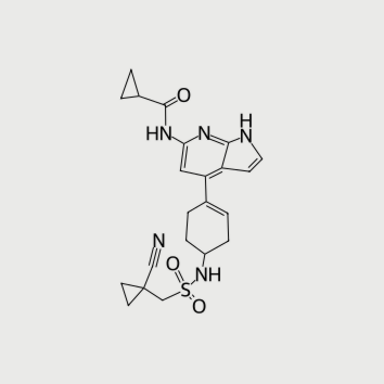 N#CC1(CS(=O)(=O)NC2CC=C(c3cc(NC(=O)C4CC4)nc4[nH]ccc34)CC2)CC1